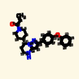 C=CC(=O)N1CCC([C@H]2CCNc3cc(-c4ccc(Oc5ccccc5)cc4)nn32)CC1